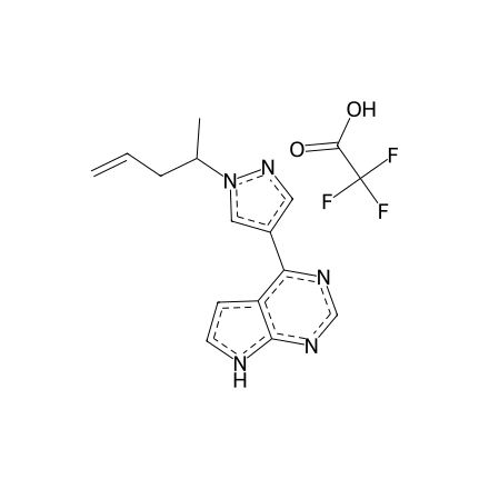 C=CCC(C)n1cc(-c2ncnc3[nH]ccc23)cn1.O=C(O)C(F)(F)F